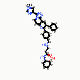 Cn1cnc(-c2nnc3c4cc(-c5ccccc5)c(-c5ccc(CNCCC(=O)Nc6ccccc6O)cc5)nc4ccn23)c1